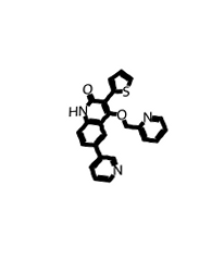 O=c1[nH]c2ccc(-c3cccnc3)cc2c(OCc2ccccn2)c1-c1cccs1